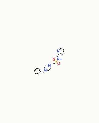 O=S(=O)(CCN1CCN(Cc2ccccc2)CC1)NCc1ccccn1